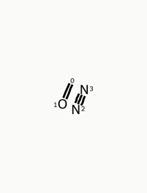 C=O.N#N